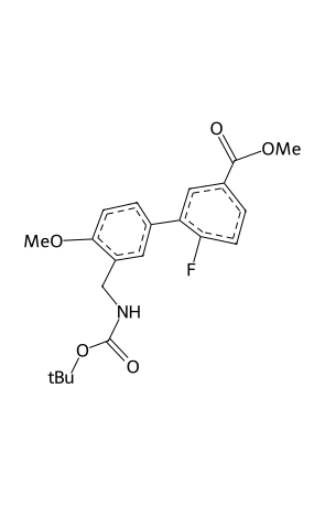 COC(=O)c1ccc(F)c(-c2ccc(OC)c(CNC(=O)OC(C)(C)C)c2)c1